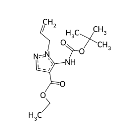 C=CCn1ncc(C(=O)OCC)c1NC(=O)OC(C)(C)C